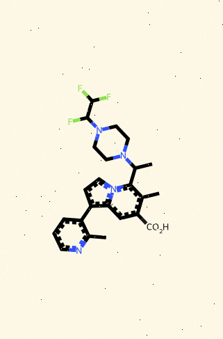 Cc1ncccc1-c1ccn2c(C(C)N3CCN(C(F)C(F)F)CC3)c(C)c(C(=O)O)cc12